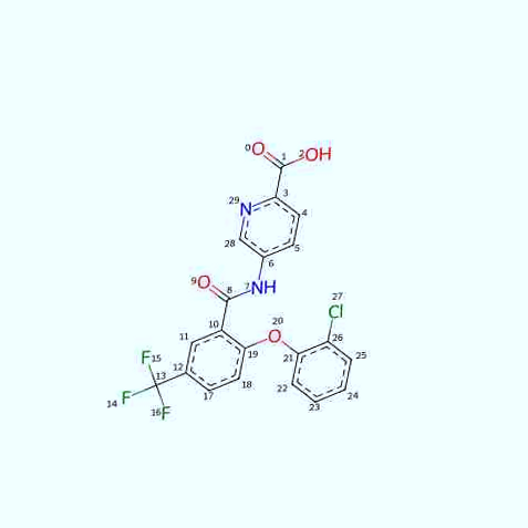 O=C(O)c1ccc(NC(=O)c2cc(C(F)(F)F)ccc2Oc2ccccc2Cl)cn1